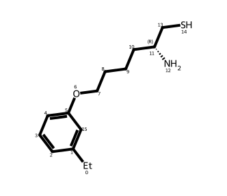 CCc1cccc(OCCCC[C@@H](N)CS)c1